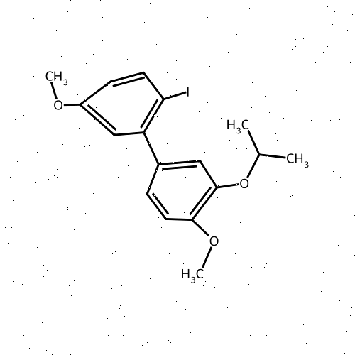 COc1ccc(I)c(-c2ccc(OC)c(OC(C)C)c2)c1